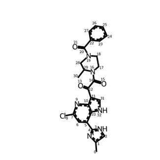 Cc1c[nH]c(-c2cc(Cl)nc3c(C(=O)C(=O)N4CCN(C(=O)c5ccccc5)CC4C)c[nH]c23)n1